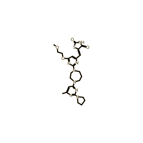 COCCOc1cc(/C=C2\SC(=O)NC2=O)nc(N2CCCN(c3cc(C)nc(N4CCCC4)n3)CC2)n1